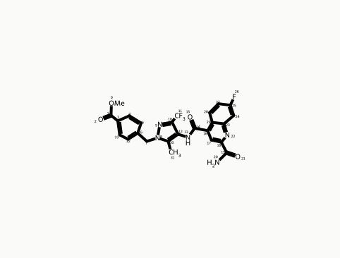 COC(=O)c1ccc(Cn2nc(C(F)(F)F)c(NC(=O)c3cc(C(N)=O)nc4cc(F)ccc34)c2C)cc1